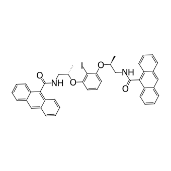 C[C@@H](CNC(=O)c1c2ccccc2cc2ccccc12)Oc1cccc(O[C@@H](C)CNC(=O)c2c3ccccc3cc3ccccc23)c1I